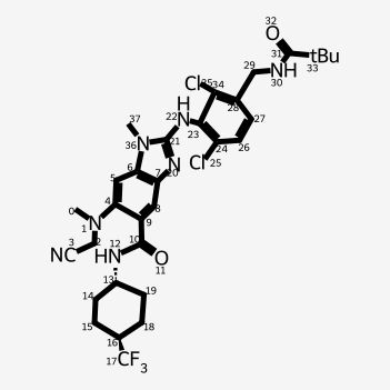 CN(CC#N)c1cc2c(cc1C(=O)N[C@H]1CC[C@H](C(F)(F)F)CC1)nc(Nc1c(Cl)ccc(CNC(=O)C(C)(C)C)c1Cl)n2C